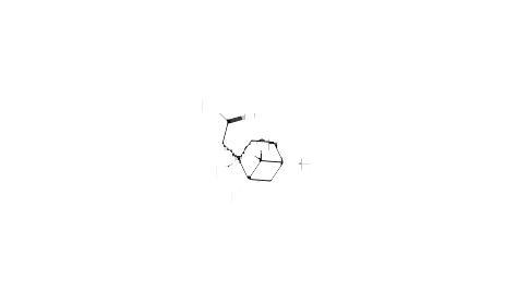 CC1(C)[C@H]2CC[C@@H](CC(=O)O)[C@@H]1C2